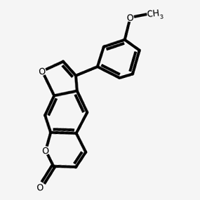 COc1cccc(-c2coc3cc4oc(=O)ccc4cc23)c1